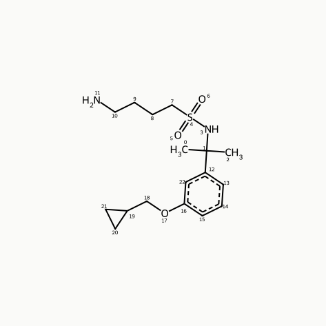 CC(C)(NS(=O)(=O)CCCCN)c1cccc(OCC2CC2)c1